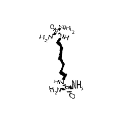 NP(N)(=O)NCCCCCCNP(N)(N)=O